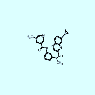 Cc1cncc(C(=O)Nc2cccc([C@H](C)Nc3cnc4ccc(C5CC5)cc4n3)c2)c1